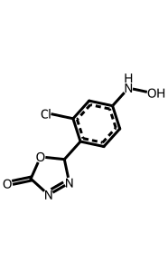 O=C1N=NC(c2ccc(NO)cc2Cl)O1